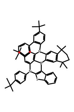 CC(C)(C)c1ccc(N2c3cc(C(C)(C)C)cc4c3B(c3cc5c(cc3N4c3ccc(C(C)(C)C)cc3-c3ccccc3)C(C)(C)CCC5(C)C)c3c2sc2ccccc32)cc1